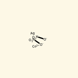 O=[N+]([O-])[O-].O=[N+]([O-])[O-].[Ag].[Co+2]